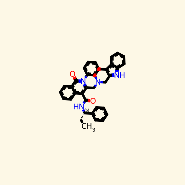 CC[C@H](NC(=O)c1c(CN2CCc3c([nH]c4ccccc34)C2)n(-c2ccccc2)c(=O)c2ccccc12)c1ccccc1